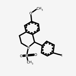 COc1ccc2c(c1)CCN(S(C)(=O)=O)C2c1ccc(I)cc1